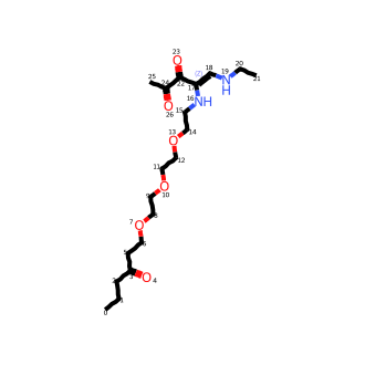 CCCC(=O)CCOCCOCCOCCN/C(=C\NCC)C(=O)C(C)=O